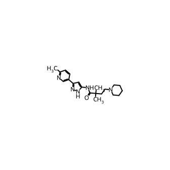 Cc1ccc(-c2cc(NC(=O)C(C)(C)CCN3CCCCC3)[nH]n2)cn1